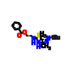 CC(C)(C)N=NC(C)(C)NC(=S)NCCOC(=O)c1ccccc1